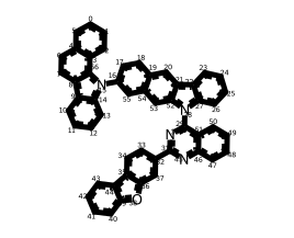 c1ccc2c(c1)ccc1c3ccccc3n(-c3ccc4cc5c6ccccc6n(-c6nc(-c7ccc8c(c7)oc7ccccc78)nc7ccccc67)c5cc4c3)c21